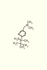 CN(C)Cc1ccc([Si](C)(C)C(C)(C)C)nc1